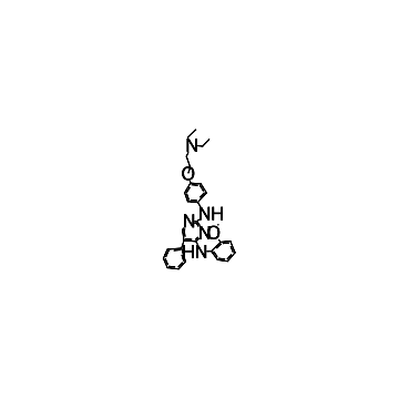 CCN(CC)CCOc1ccc(Nc2ncc(-c3ccccc3)c(Nc3ccccc3OC)n2)cc1